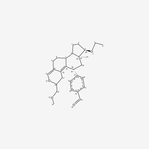 CCO[C@@H]1CCC2C3CCC4=COC(COC)CC4=C3[C@@H](c3ccc(C=O)cc3)C[C@@]21C